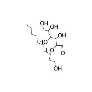 CCCCCCCCCCO.O=CC(O)C(O)C(O)C(O)CO